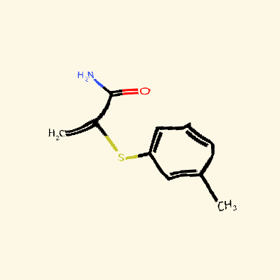 C=C(Sc1cccc(C)c1)C(N)=O